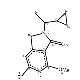 COc1nc(Cl)cc2c1C(=O)N(C(C)C1CC1)C2